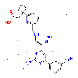 N#Cc1cccc(-c2cc(/C(=C/NCc3cccc(C4(CC(=O)O)CCC4)n3)N=N)nc(N)n2)c1